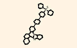 S=P(c1ccccc1)(c1ccccc1)c1ccc(-c2ccc(-c3ccc4c5ccc6ccccc6c5c5nc6ccccc6n5c4c3)cc2)cc1